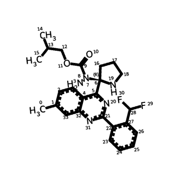 Cc1ccc2c([C@]3(N(N)C(=O)OCC(C)C)CCCN3)nc(-c3ccccc3C(F)F)nc2c1